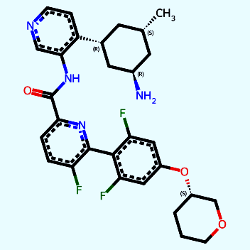 C[C@@H]1C[C@@H](N)C[C@H](c2ccncc2NC(=O)c2ccc(F)c(-c3c(F)cc(O[C@H]4CCCOC4)cc3F)n2)C1